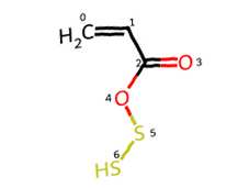 C=CC(=O)OSS